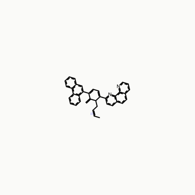 C=C1C(c2cc3ccccc3c3ccccc23)=CC=C(c2ccc3ccc4cccnc4c3n2)C1C/C=C\C